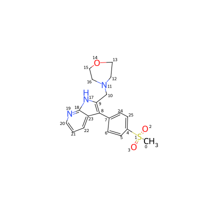 CS(=O)(=O)c1ccc(-c2c(CN3CCOCC3)[nH]c3ncccc23)cc1